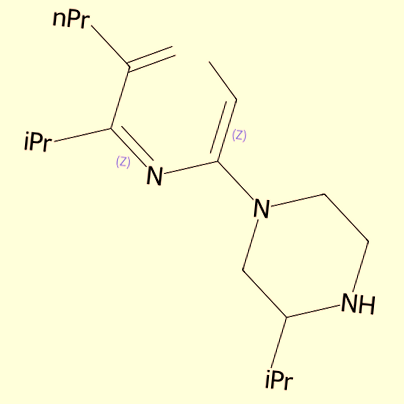 C=C(CCC)/C(=N\C(=C/C)N1CCNC(C(C)C)C1)C(C)C